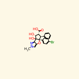 Cn1cc2c(n1)C1(O)[C@H](O)[C@H](C(=O)O)[C@@H](c3ccccc3)[C@]1(c1ccc(Br)cc1)O2